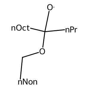 CCCCCCCCCCOC([O])(CCC)CCCCCCCC